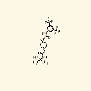 CC(C)(C)NC(=O)CN1CCC2(CC1)CC2C(=O)Nc1cc(C(F)(F)F)cc(C(F)(F)F)c1